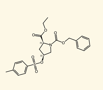 CCOC(=O)[C@@H]1C[C@H](OS(=O)(=O)c2ccc(C)cc2)CN1C(=O)OCc1ccccc1